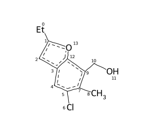 CCc1cc2cc(Cl)c(C)c(CO)c2o1